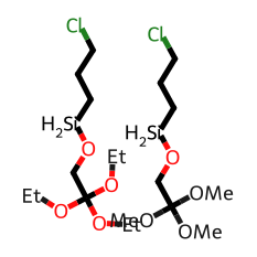 CCOC(CO[SiH2]CCCCl)(OCC)OCC.COC(CO[SiH2]CCCCl)(OC)OC